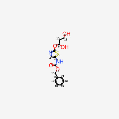 O=C(Nc1cnc(OC(O)CCO)s1)OCc1ccccc1